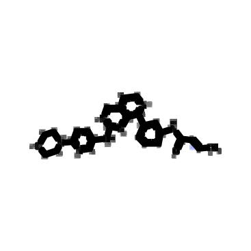 C/C=C/C(=O)Nc1cccc(-c2nccc3cnc(Nc4ccc(N5CCOCC5)nc4)nc23)c1